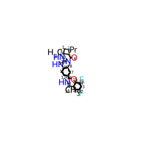 CC(C)C[C@]1(C)CC(=O)N(Cc2cccc(C(=O)N[C@@H](C)c3cc(F)cc(F)c3)c2)C(=N)N1